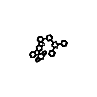 c1ccc(-c2nc(-c3ccccc3)nc(-c3cccc(-c4cccc5c4oc4cc6c(cc45)-c4ccccc4C64c5ccccc5Sc5ccccc54)c3)n2)cc1